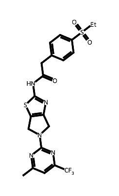 CCS(=O)(=O)c1ccc(CC(=O)Nc2nc3c(s2)CN(c2nc(C)cc(C(F)(F)F)n2)C3)cc1